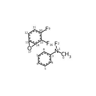 CN(F)c1ccccc1.Fc1ccc2c(c1F)O2